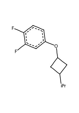 CC(C)C1CC(Oc2ccc(F)c(F)c2)C1